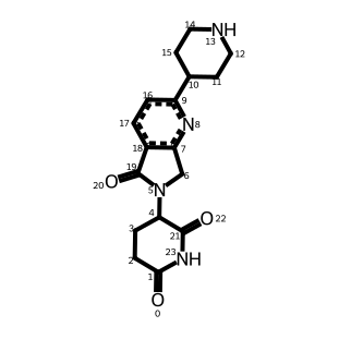 O=C1CCC(N2Cc3nc(C4CCNCC4)ccc3C2=O)C(=O)N1